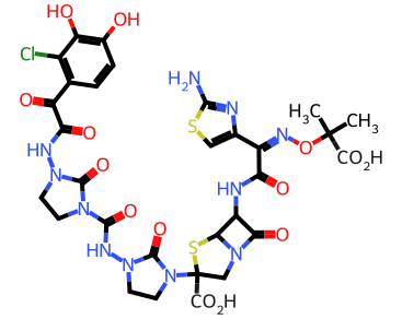 CC(C)(O/N=C(\C(=O)NC1C(=O)N2CC(C(=O)O)(N3CCN(NC(=O)N4CCN(NC(=O)C(=O)c5ccc(O)c(O)c5Cl)C4=O)C3=O)SC12)c1csc(N)n1)C(=O)O